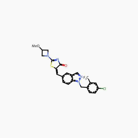 COC1CN(C2=NC(=O)C(=Cc3ccc4c(cnn4Cc4ccc(Cl)cc4C(F)(F)F)c3)S2)C1